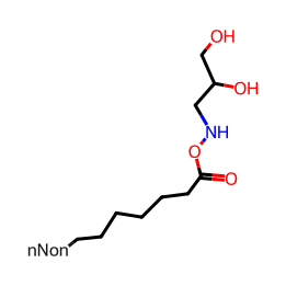 CCCCCCCCCCCCCCCC(=O)ONCC(O)CO